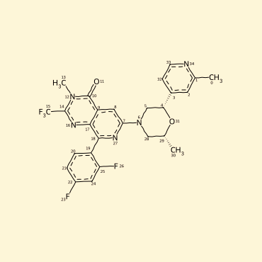 Cc1cc([C@H]2CN(c3cc4c(=O)n(C)c(C(F)(F)F)nc4c(-c4ccc(F)cc4F)n3)C[C@@H](C)O2)ccn1